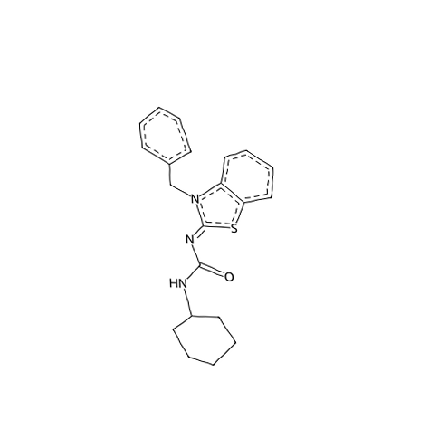 O=C(/N=c1\sc2ccccc2n1Cc1ccccc1)NC1CCCCC1